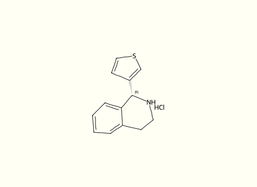 Cl.c1ccc2c(c1)CCN[C@H]2c1ccsc1